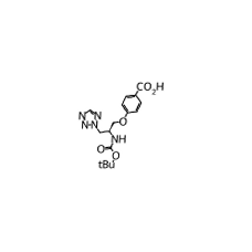 CC(C)(C)OC(=O)N[C@H](COc1ccc(C(=O)O)cc1)Cn1ncnn1